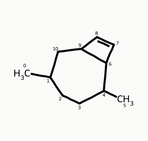 CC1CCC(C)C2C=CC2C1